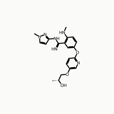 CNc1ccc(Oc2ccc(OC[C@@H](C)O)cn2)cc1C(=N)Nc1ccn(C)n1